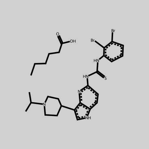 CC(C)N1CCC(c2c[nH]c3ccc(NC(=S)Nc4cccc(Br)c4Br)nc23)CC1.CCCCCC(=O)O